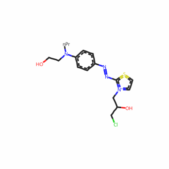 CCCN(CCO)c1ccc(/N=N/c2scc[n+]2CC(O)CCl)cc1